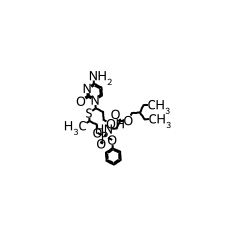 CCC(CC)COC(=O)CNP(=O)(OCC(C)SC(CCO)n1ccc(N)nc1=O)Oc1ccccc1